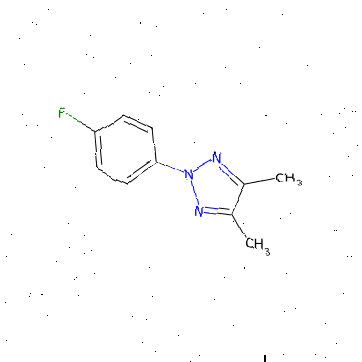 Cc1nn(-c2ccc(F)cc2)nc1C